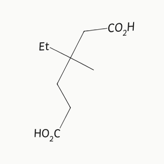 CCC(C)(CCC(=O)O)CC(=O)O